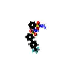 NS(=O)(=O)c1ccccc1NS(=O)(=O)c1cccc(-c2ccc(C(F)(F)F)cc2)c1